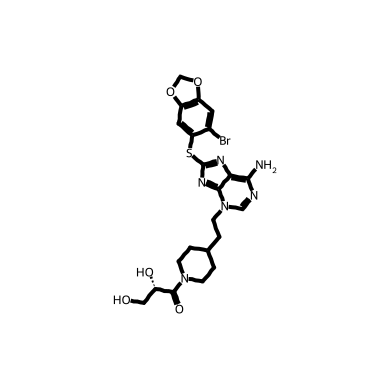 Nc1ncn(CCC2CCN(C(=O)[C@@H](O)CO)CC2)c2nc(Sc3cc4c(cc3Br)OCO4)nc1-2